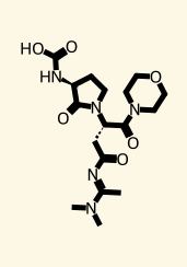 C/C(=N\C(=O)C[C@@H](C(=O)N1CCOCC1)N1CC[C@H](NC(=O)O)C1=O)N(C)C